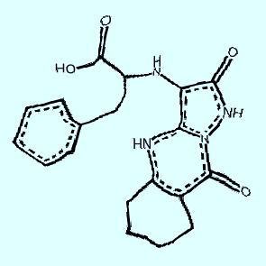 O=C(O)C(Cc1ccccc1)Nc1c(=O)[nH]n2c(=O)c3c([nH]c12)CCCC3